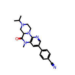 CC(C)N1CCN2c3ncc(-c4ccc(C#N)cc4)cc3N(C)C(=O)C2C1